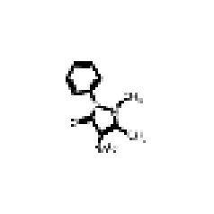 CNc1c(C)n(C)n(-c2ccccc2)c1=O